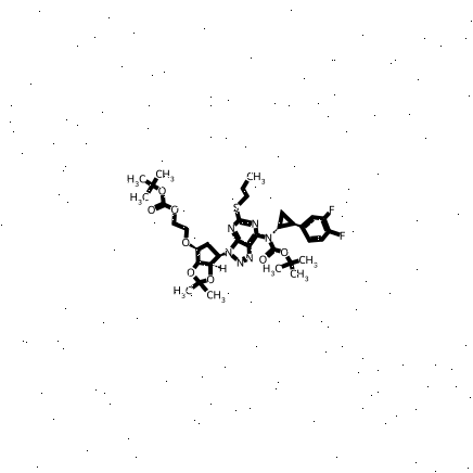 CCCSc1nc(N(C(=O)OC(C)(C)C)[C@@H]2C[C@H]2c2ccc(F)c(F)c2)c2nnn([C@@H]3C[C@H](OCCOC(=O)OC(C)(C)C)C4OC(C)(C)O[C@@H]43)c2n1